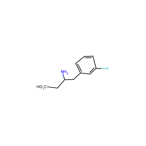 NC(CC(=O)O)Cc1cccc(F)c1